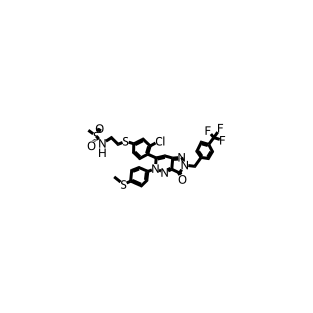 CSc1ccc(-n2nc3c(=O)n(Cc4ccc(C(F)(F)F)cc4)nc-3cc2-c2ccc(SCCNS(C)(=O)=O)cc2Cl)cc1